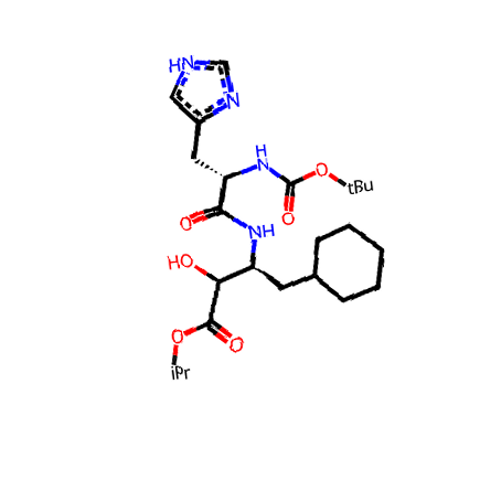 CC(C)OC(=O)C(O)[C@H](CC1CCCCC1)NC(=O)[C@H](Cc1c[nH]cn1)NC(=O)OC(C)(C)C